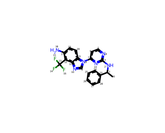 CC(Nc1nccc(-n2cnc3c(C(F)(F)F)c(N)ccc32)n1)c1ccccc1